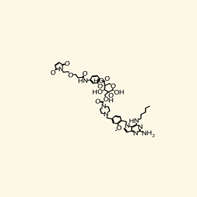 CCCCCNc1nc(N)nc2ccn(Cc3ccc(CN4CCN(C(=O)OC[C@@]5(O)[C@@H](O)[C@@](Oc6cccc(NC(=O)CCOCCN7C(=O)C=CC7=O)c6)(C(=O)O)CO[C@@H]5O)CC4)cc3OC)c12